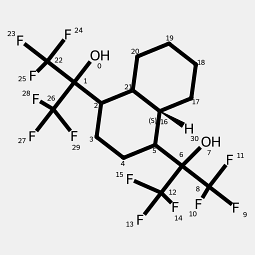 OC(C1CCC(C(O)(C(F)(F)F)C(F)(F)F)[C@H]2CCCCC12)(C(F)(F)F)C(F)(F)F